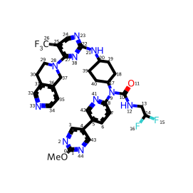 COc1ncc(-c2ccc(N(C(=O)NCC(F)F)C3CCC(Nc4ncc(C(F)(F)F)c(N5CCc6cnccc6C5)n4)CC3)nc2)cn1